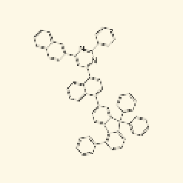 c1ccc(-c2nc(-c3ccc4ccccc4c3)cc(-c3ccc(-c4ccc5c(c4)C(c4ccccc4)(c4ccccc4)c4cccc(-c6ccccc6)c4-5)c4ccccc34)n2)cc1